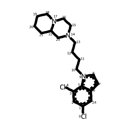 Clc1cc(Cl)c2c(ccn2CCCCN2CCN3CCCCC3C2)c1